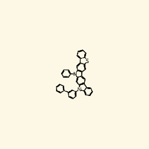 c1ccc(-c2cccc(-n3c4ccccc4c4cc5c6cc7sc8ccccc8c7cc6n(-c6ccccc6)c5cc43)c2)cc1